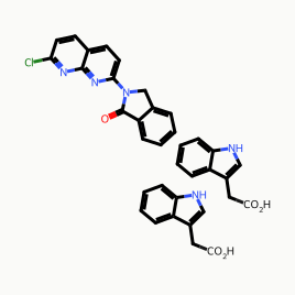 O=C(O)Cc1c[nH]c2ccccc12.O=C(O)Cc1c[nH]c2ccccc12.O=C1c2ccccc2CN1c1ccc2ccc(Cl)nc2n1